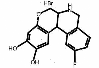 Br.Oc1cc2c(cc1O)C1c3cc(F)ccc3CNC1CO2